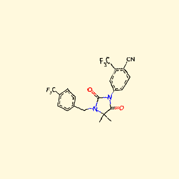 CC1(C)C(=O)N(c2ccc(C#N)c(C(F)(F)F)c2)C(=O)N1Cc1ccc(C(F)(F)F)cc1